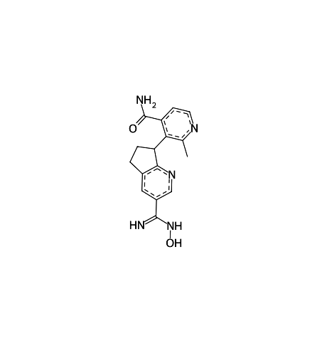 Cc1nccc(C(N)=O)c1C1CCc2cc(C(=N)NO)cnc21